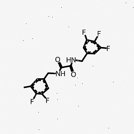 Cc1cc(CNC(=O)C(=O)NCc2cc(F)c(F)c(F)c2)cc(F)c1F